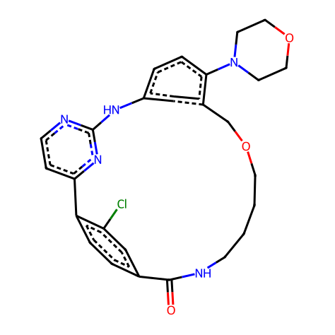 O=C1NCCCCOCc2cc(ccc2N2CCOCC2)Nc2nccc(n2)-c2ccc1cc2Cl